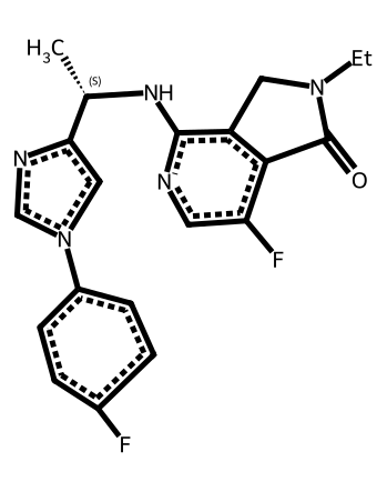 CCN1Cc2c(N[C@@H](C)c3cn(-c4ccc(F)cc4)cn3)ncc(F)c2C1=O